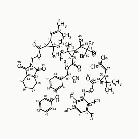 CC(C)=CC1C(C(=O)OCN2C(=O)C3=C(CCCC3)C2=O)C1(C)C.CC1(C)[C@H](C(=O)O[C@H](C#N)c2cccc(Oc3ccccc3)c2)[C@@H]1C(Br)C(Br)(Br)Br.CC1(C)[C@H](C=C(Cl)Cl)[C@H]1C(=O)OCc1c(F)c(F)cc(F)c1F